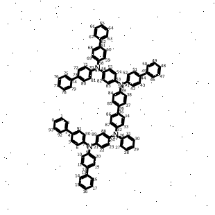 c1ccc(-c2ccc(N(c3ccc(-c4ccccc4)cc3)c3ccc(N(c4ccccc4)c4ccc(-c5ccc(N(c6ccc(-c7ccccc7)cc6)c6ccc(N(c7ccc(-c8ccccc8)cc7)c7ccc(-c8ccccc8)cc7)cc6)cc5)cc4)cc3)cc2)cc1